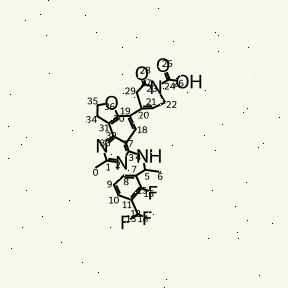 Cc1nc(NC(C)c2cccc(C(F)F)c2F)c2cc(C3=CCN(C(=O)O)C(=O)C3)c3c(c2n1)CCO3